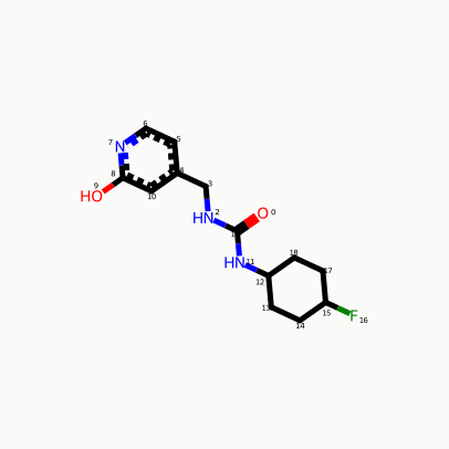 O=C(NCc1ccnc(O)c1)NC1CCC(F)CC1